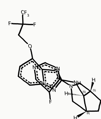 Fc1cncnc1N1C[C@H]2CC[C@@H](C1)[C@@H]2Nc1nc2c(OCC(F)(F)C(F)(F)F)cccn2n1